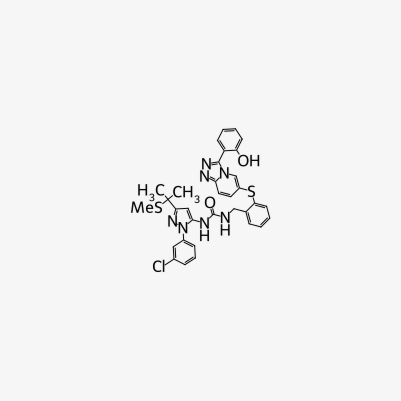 CSC(C)(C)c1cc(NC(=O)NCc2ccccc2Sc2ccc3nnc(-c4ccccc4O)n3c2)n(-c2cccc(Cl)c2)n1